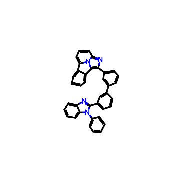 c1ccc(-n2c(-c3cccc(-c4cccc(-c5nc6cccc7c8ccccc8c5n67)c4)c3)nc3ccccc32)cc1